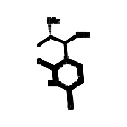 COC([C@H](C)OC(C)=O)n1ccc(=O)[nH]c1=O